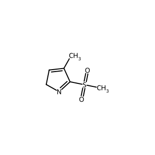 CC1=CCN=C1S(C)(=O)=O